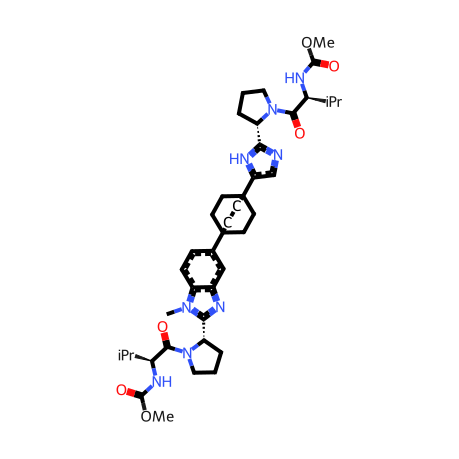 COC(=O)N[C@H](C(=O)N1CCC[C@H]1c1ncc(C23CCC(c4ccc5c(c4)nc([C@@H]4CCCN4C(=O)[C@@H](NC(=O)OC)C(C)C)n5C)(CC2)CC3)[nH]1)C(C)C